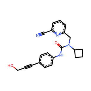 N#Cc1cccc(CN(C(=O)Nc2ccc(C#CCO)cc2)C2CCC2)n1